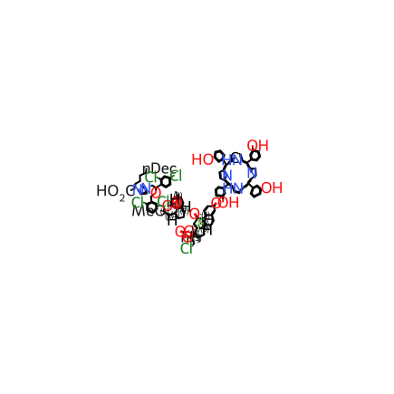 CCCC(=O)O[C@]1(C(=O)CCl)[C@@H](C)C[C@H]2[C@@H]3CCC4=CC(=O)C=C[C@]4(C)[C@@]3(F)C(=O)C[C@@]21C.CCCCCCCCCCCCCCCC(=O)O.CO[C@H]1O[C@@H]2O[C@@]3(C)CC[C@H]4[C@H](C)CC[C@@H]([C@H]1C)C24OO3.Clc1ccc(C(Cn2ccnc2)OCc2c(Cl)cccc2Cl)c(Cl)c1.Oc1cccc(-c2c3nc(c(-c4cccc(O)c4)c4ccc([nH]4)c(-c4cccc(O)c4)c4nc(c(-c5cccc(O)c5)c5ccc2[nH]5)CC4)C=C3)c1